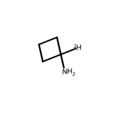 [2H]C1(N)CCC1